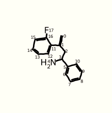 C=C(CC(N)c1ccccc1)c1ccccc1F